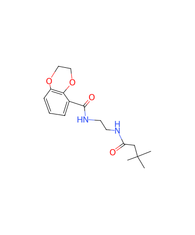 CC(C)(C)CC(=O)NCCNC(=O)c1cccc2c1OCCO2